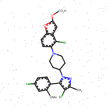 COc1cc(F)ccc1-c1c(Br)c(C)nn1C1CCN(c2ccc3oc(OC(=O)O)cc3c2Br)CC1